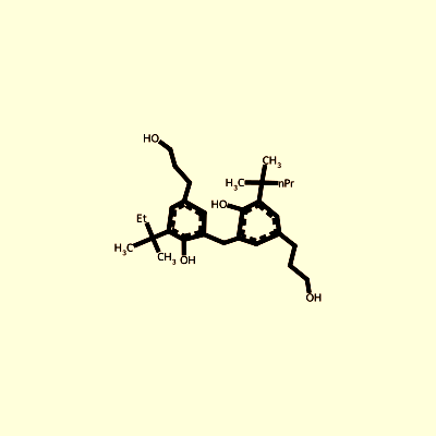 CCCC(C)(C)c1cc(CCCO)cc(Cc2cc(CCCO)cc(C(C)(C)CC)c2O)c1O